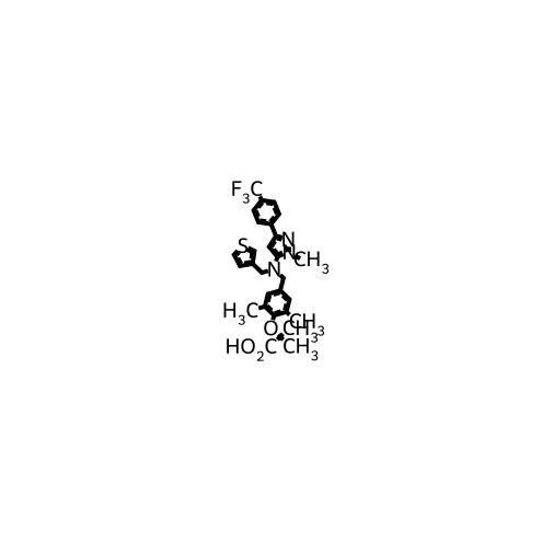 Cc1cc(CN(Cc2ccsc2)c2cc(-c3ccc(C(F)(F)F)cc3)nn2C)cc(C)c1OC(C)(C)C(=O)O